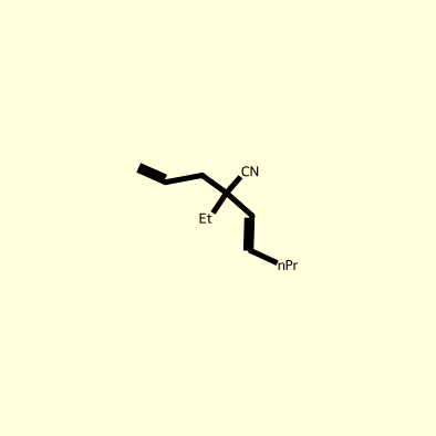 C=CCC(C#N)(C=CCCC)CC